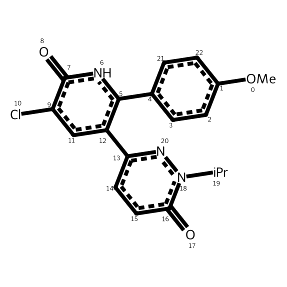 COc1ccc(-c2[nH]c(=O)c(Cl)cc2-c2ccc(=O)n(C(C)C)n2)cc1